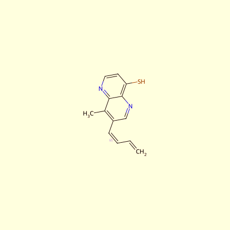 C=C/C=C\c1cnc2c(S)ccnc2c1C